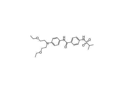 CCOCCN(CCOCC)c1ccc(NC(=O)c2ccc(NS(=O)(=O)C(C)C)cc2)cc1